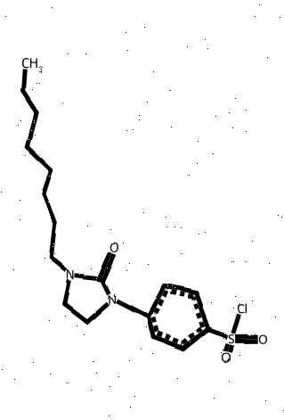 CCCCCCCCN1CCN(c2ccc(S(=O)(=O)Cl)cc2)C1=O